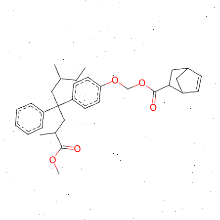 CCC(C)CC(CC(C)C(=O)OC)(c1ccccc1)c1ccc(OCOC(=O)C2CC3C=CC2C3)cc1